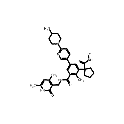 CCNC(=O)C1(c2cc(-c3ccc(N4CCC(N)CC4)nc3)cc(C(=O)NCc3c(C)cc(C)[nH]c3=O)c2C)CCCC1